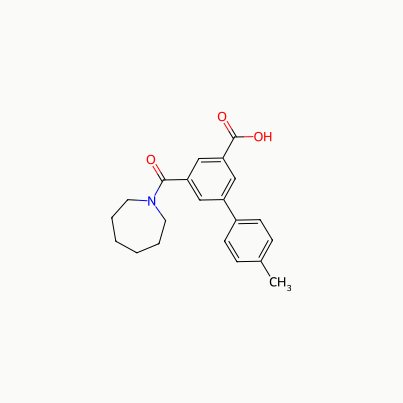 Cc1ccc(-c2cc(C(=O)O)cc(C(=O)N3CCCCCC3)c2)cc1